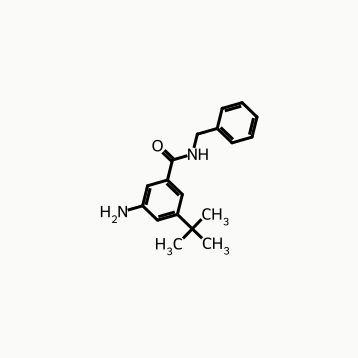 CC(C)(C)c1cc(N)cc(C(=O)NCc2ccccc2)c1